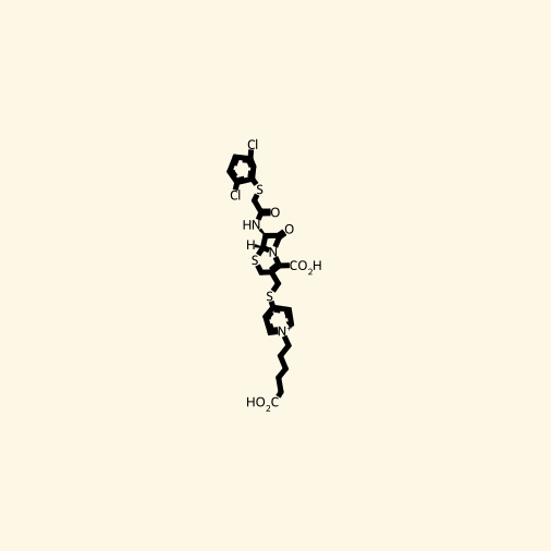 O=C(O)CCCCC[n+]1ccc(SCC2=C(C(=O)O)N3C(=O)[C@H](NC(=O)CSc4cc(Cl)ccc4Cl)[C@H]3SC2)cc1